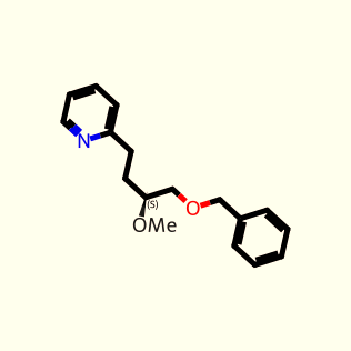 CO[C@@H](CCc1ccccn1)COCc1ccccc1